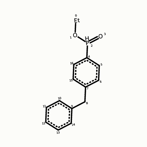 CCO[PH](=O)c1ccc(Cc2ccccc2)cc1